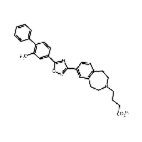 O=C(O)CCCN1CCc2ccc(-c3noc(-c4ccc(-c5ccccc5)c(C(F)(F)F)c4)n3)cc2CC1